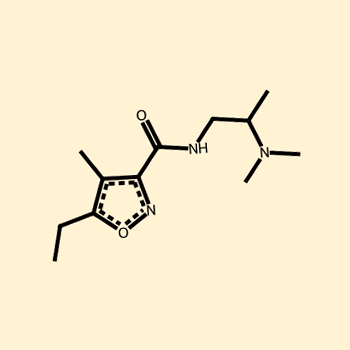 CCc1onc(C(=O)NCC(C)N(C)C)c1C